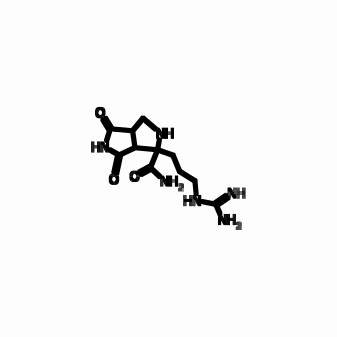 N=C(N)NCCCC1(C(N)=O)NCC2C(=O)NC(=O)C21